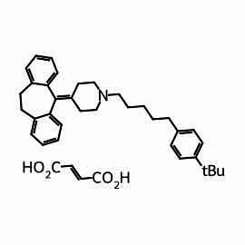 CC(C)(C)c1ccc(CCCCCN2CCC(=C3c4ccccc4CCc4ccccc43)CC2)cc1.O=C(O)C=CC(=O)O